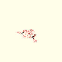 O.O.O.O.O.O=[Si](O)O.O=[Si](O)O